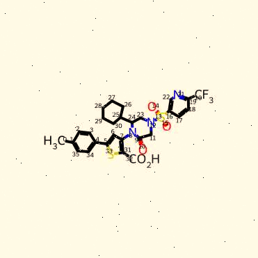 Cc1ccc(-c2cc(N3C(=O)CN(S(=O)(=O)c4ccc(C(F)(F)F)nc4)CC3C3CCCCC3)c(C(=O)O)s2)cc1